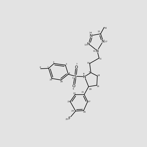 Cc1ccc(S(=O)(=O)N2C(CCn3nnc(C)n3)CCC2c2ccc(F)cc2)cc1